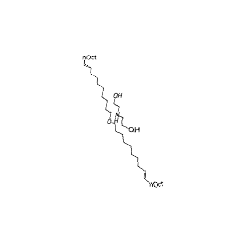 CCCCCCCCC=CCCCCCCCCOCCCCCCCCC=CCCCCCCCC.OCCNCCO